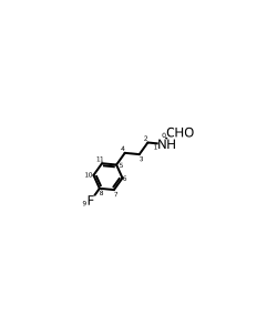 O=CNCCCc1ccc(F)cc1